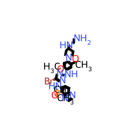 COc1cc(N2CCC(NCCN)CC2)c(C(C)=O)cc1Nc1ncc(Br)c(Nc2ccc3nccnc3c2P(C)(C)=O)n1